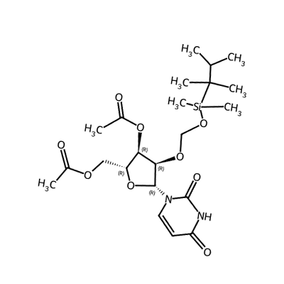 CC(=O)OC[C@H]1O[C@@H](n2ccc(=O)[nH]c2=O)[C@H](OCO[Si](C)(C)C(C)(C)C(C)C)[C@@H]1OC(C)=O